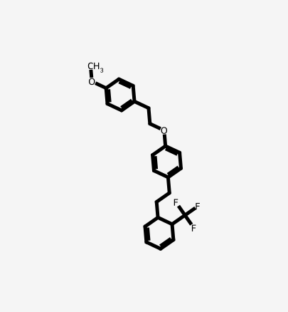 COc1ccc(CCOc2ccc(CCC3C=CC=CC3C(F)(F)F)cc2)cc1